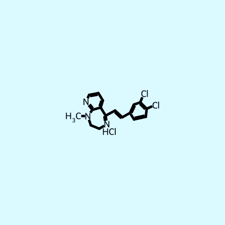 CN1CCN=C(C=Cc2ccc(Cl)c(Cl)c2)c2cccnc21.Cl